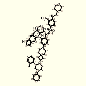 Cc1ccccc1[C@@H]1CN(c2cccnc2)CCN1C1CC2(CCN(c3ccc(C(=O)NS(=O)(=O)c4ccc(NCC5CCOCC5)c([N+](=O)[O-])c4)c(N4c5cc6cc[nH]c6nc5O[C@H]5COCC[C@@H]54)c3)CC2)C1